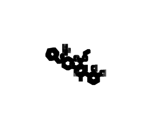 CCOC(=O)c1nc(-c2cccc(Cl)c2Cl)c(C)nc1N1CCC(CN)(Cc2ccccc2)CC1